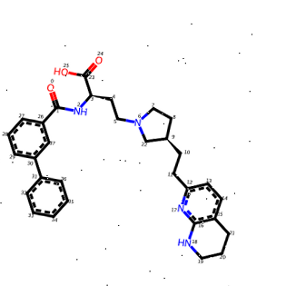 O=C(N[C@H](CCN1CC[C@@H](CCc2ccc3c(n2)NCCC3)C1)C(=O)O)c1cccc(-c2ccccc2)c1